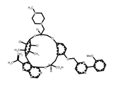 C=C(C)c1sc2ncnc3c2c1-c1c(C)c(Cl)c(c(Cl)c1C)O[C@H](CN1CCN(C)CC1)COc1ccc(OCc2ccnc(-c4ccccc4OC)n2)c(c1)C[C@H](C(=O)O)O3